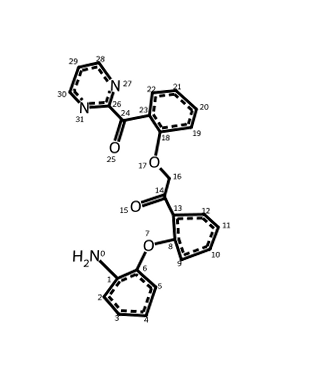 Nc1ccccc1Oc1ccccc1C(=O)COc1ccccc1C(=O)c1ncccn1